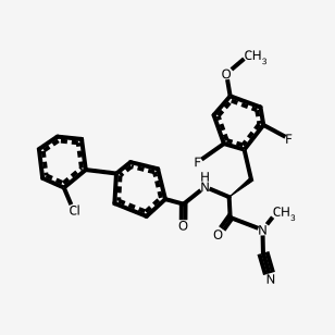 COc1cc(F)c(C[C@H](NC(=O)c2ccc(-c3ccccc3Cl)cc2)C(=O)N(C)C#N)c(F)c1